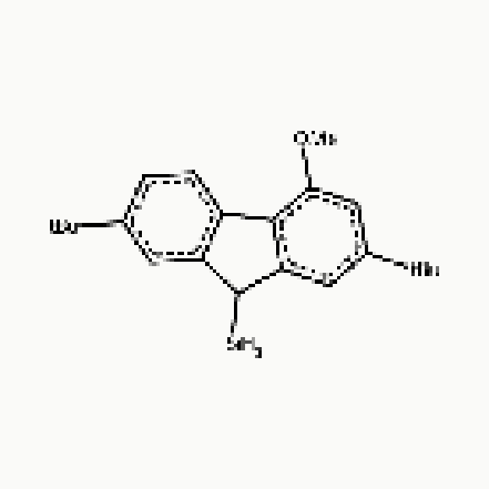 COc1cc(C(C)(C)C)cc2c1-c1ccc(C(C)(C)C)cc1C2[SiH3]